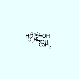 O=S(=O)(O)O.O=[N+]([O-])O.[Ba+2].[CaH2]